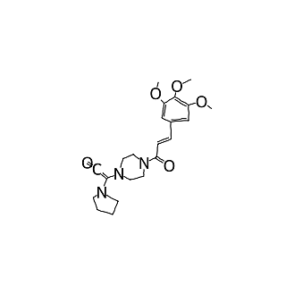 COc1cc(C=CC(=O)N2CCN(C(=C=O)N3CCCC3)CC2)cc(OC)c1OC